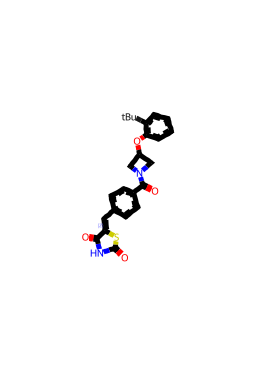 CC(C)(C)c1ccccc1OC1CN(C(=O)c2ccc(/C=C3\SC(=O)NC3=O)cc2)C1